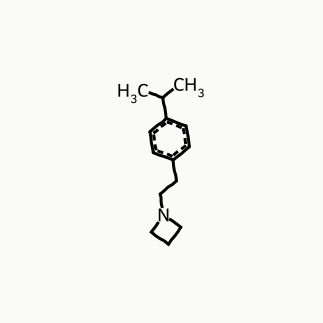 CC(C)c1ccc(CCN2CCC2)cc1